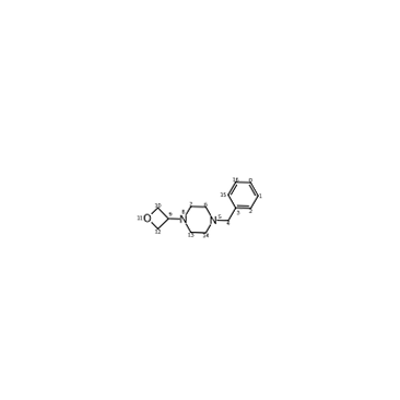 c1ccc(CN2CCN(C3COC3)CC2)cc1